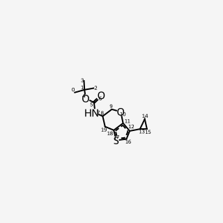 CC(C)(C)OC(=O)NC1COc2c(C3CC3)csc2C1